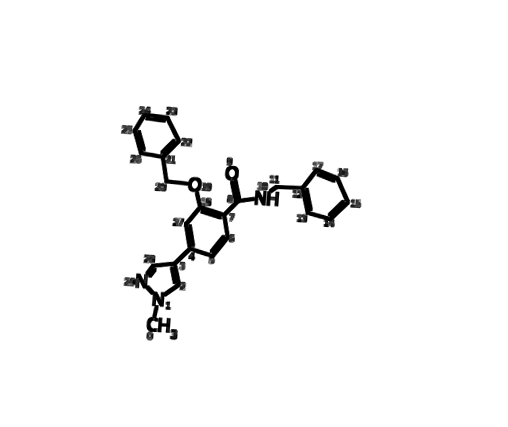 Cn1cc(-c2ccc(C(=O)NCc3ccccc3)c(OCc3ccccc3)c2)cn1